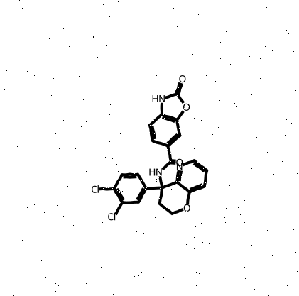 O=C(NC1(c2ccc(Cl)c(Cl)c2)CCOc2cccnc21)c1ccc2[nH]c(=O)oc2c1